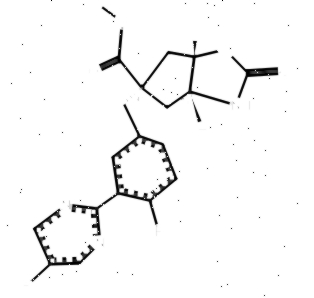 COC(=O)[C@@]1(Cc2ccc(F)c(-c3ncc(F)cn3)c2)C[C@@H]2OC(=O)N[C@@H]2C1